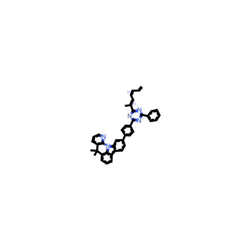 C=C/C=C\C=C(/C)c1nc(-c2ccccc2)nc(-c2ccc(-c3ccc4c5cccc6c5n(c4c3)-c3ncccc3C6(C)C)cc2)n1